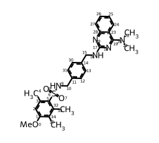 COc1cc(C)c(S(=O)(=O)NCc2ccc(CNc3nc(N(C)C)c4ccccc4n3)cc2)c(C)c1C